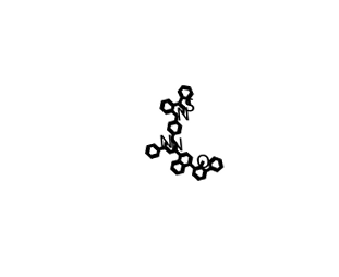 c1ccc(-c2cc(-c3ccc(-c4cccc5c4oc4ccccc45)c4ccccc34)nc(-c3ccc(-c4nc5sc6ccccc6c5c5ccccc45)cc3)n2)cc1